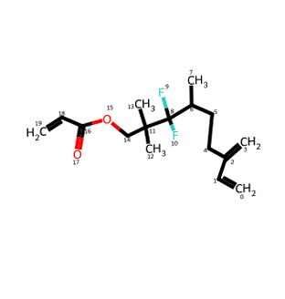 C=CC(=C)CCC(C)C(F)(F)C(C)(C)COC(=O)C=C